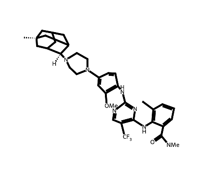 CNC(=O)c1cccc(C)c1Nc1nc(Nc2ccc(N3CCN([C@H]4C5CC6CC4C[C@](C)(C6)C5)CC3)cc2OC)ncc1C(F)(F)F